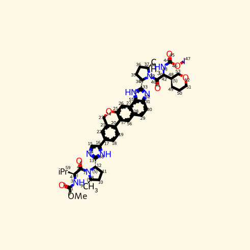 COC(=O)N[C@H](C(=O)N1[C@@H](C)CC[C@H]1c1ncc(-c2ccc3c(c2)COc2cc4c(ccc5nc([C@@H]6CC[C@H](C)N6C(=O)[C@@H](NC(=O)OI)[C@@H]6CCCOC6)[nH]c54)cc2-3)[nH]1)C(C)C